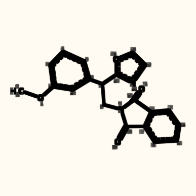 COc1cccc(C(CN2C(=O)c3ccccc3C2=O)c2ncco2)c1